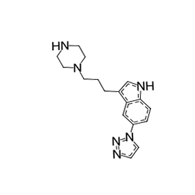 c1cn(-c2ccc3[nH]cc(CCCN4CCNCC4)c3c2)nn1